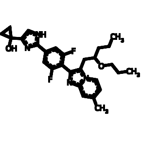 CCCOC(CCC)Cc1c(-c2c(F)cc(-c3nc(C4(O)CC4)c[nH]3)cc2F)nc2cc(C)ccn12